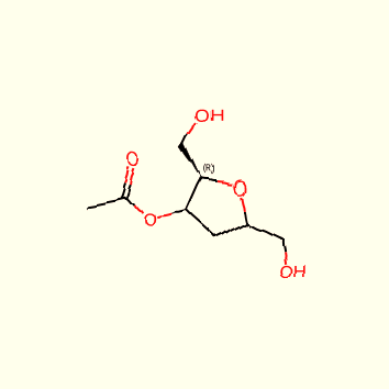 CC(=O)OC1CC(CO)O[C@@H]1CO